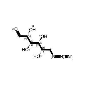 [N-]=[N+]=NC[C@H](O)[C@@H](O)[C@H](O)[C@@H](O)C=O